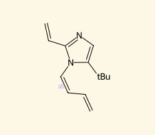 C=C/C=C\n1c(C(C)(C)C)cnc1C=C